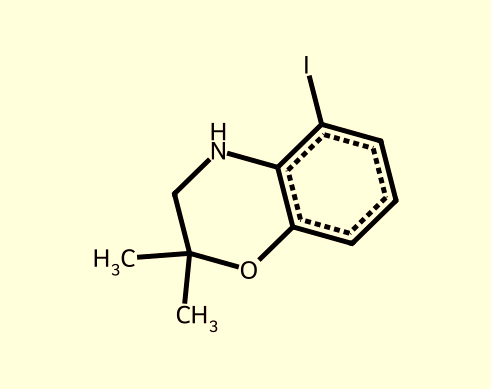 CC1(C)CNc2c(I)cccc2O1